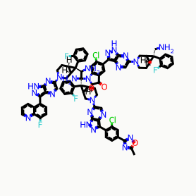 Cc1nc(-c2ccc(-c3n[nH]c4nc(N5CC[C@@H]6[C@H](C5)[C@]6(c5ccccc5F)C(N)(C(N)[C@]5(c6ccccc6F)[C@@H]6CCN(c7cnc8c(-c9ccc(F)c%10ncccc9%10)n[nH]c8n7)C[C@@H]65)N5C(=O)C(=O)c6cc(-c7n[nH]c8nc(N9CC[C@@H]%10[C@H](C9)[C@@]%10(CN)c9ccccc9F)cnc78)c(Cl)cc65)cnc34)c(Cl)c2)no1